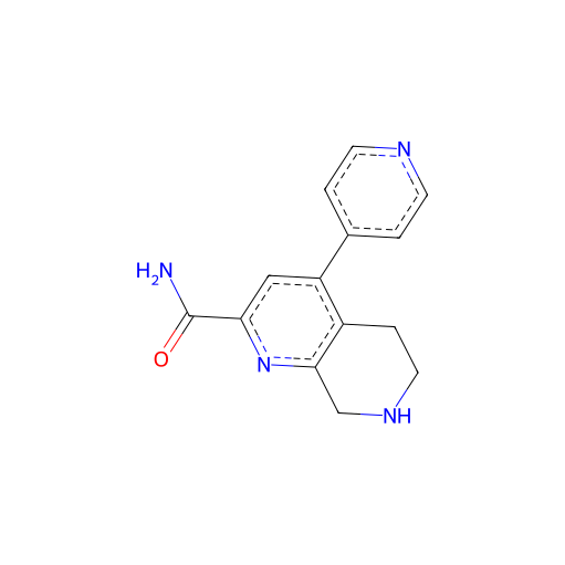 NC(=O)c1cc(-c2ccncc2)c2c(n1)CNCC2